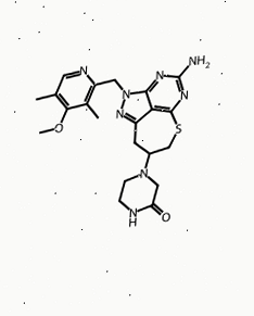 COc1c(C)cnc(Cn2nc3c4c(nc(N)nc42)SCC(N2CCNC(=O)C2)C3)c1C